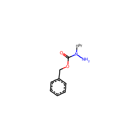 CCCN(N)C(=O)OCc1ccccc1